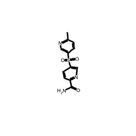 Cc1ccc(S(=O)(=O)c2ccc(C(N)=O)nc2)cn1